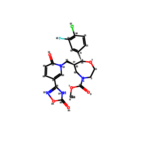 CC(C)(C)OC(=O)N1CCO[C@@H](c2ccc(Cl)c(F)c2)[C@H](Cn2cc(-c3noc(=O)[nH]3)ccc2=O)C1